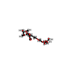 O=C(O)CC[C@H](NC(=O)N[C@@H](CCCCNC(=O)CCCCCCC(=O)NCCCCC(NC(=O)CC1CN(CC(=O)O)CCN(CC(=O)O)CCN(CC(=O)O)CCN1)C(=O)OCc1ccccc1)C(=O)O)C(=O)O